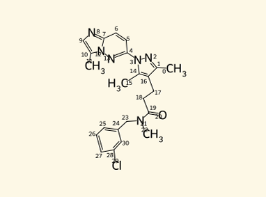 Cc1nn(-c2ccc3ncc(C)n3n2)c(C)c1CCC(=O)N(C)Cc1cccc(Cl)c1